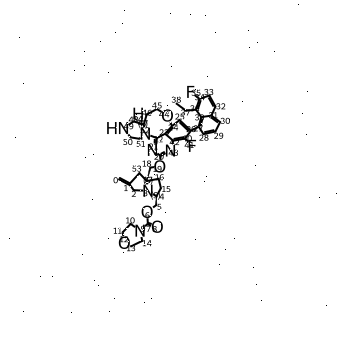 C=C1CN2[C@H](COC(=O)N3CCOCC3)CC[C@@]2(COc2nc3c4c(cc(-c5cccc6ccc(F)c(CC)c56)c(F)c4n2)OCC[C@@H]2CNCCN32)C1